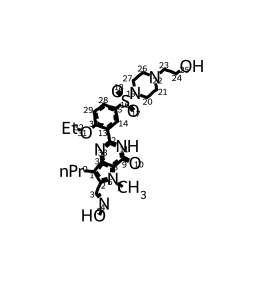 CCCc1c(/C=N/O)n(C)c2c(=O)[nH]c(-c3cc(S(=O)(=O)N4CCN(CCO)CC4)ccc3OCC)nc12